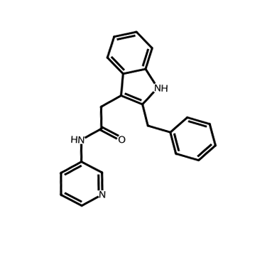 O=C(Cc1c(Cc2ccccc2)[nH]c2ccccc12)Nc1cccnc1